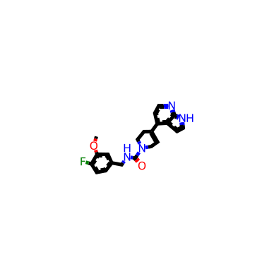 COc1cc(CNC(=O)N2CC=C(c3ccnc4[nH]ccc34)CC2)ccc1F